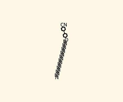 CN=NN=NN=NN=NN=NN=NN=NN=NN=NN=NOc1ccc(-c2ccc(C#N)cc2)cc1